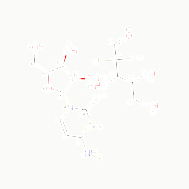 Nc1ccn([C@@H]2O[C@H](CO)[C@@H](O)[C@H]2O)c(=O)n1.O=CC(F)(F)C(O)C(O)CO